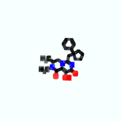 CC1Cn2c(CC3(c4ccccc4)CCCC3)nc(=O)c(O)c2C(=O)N1C